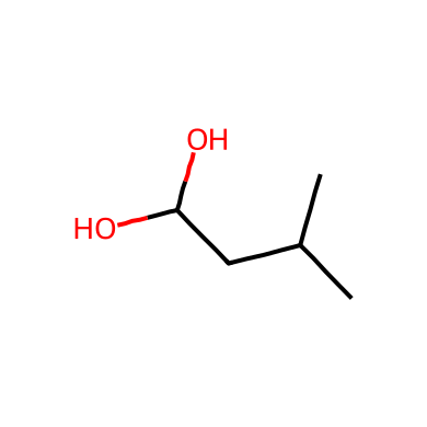 CC(C)CC(O)O